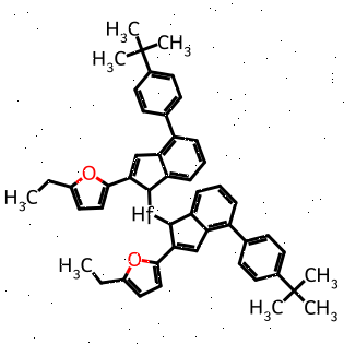 CCc1ccc(C2=Cc3c(-c4ccc(C(C)(C)C)cc4)cccc3[CH]2[Hf][CH]2C(c3ccc(CC)o3)=Cc3c(-c4ccc(C(C)(C)C)cc4)cccc32)o1